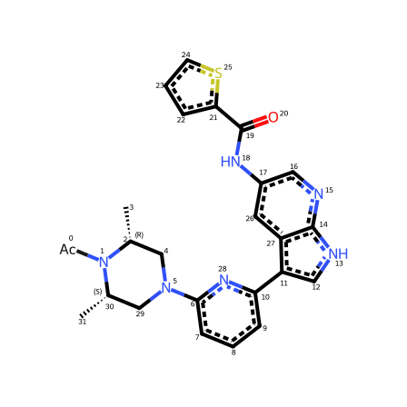 CC(=O)N1[C@H](C)CN(c2cccc(-c3c[nH]c4ncc(NC(=O)c5cccs5)cc34)n2)C[C@@H]1C